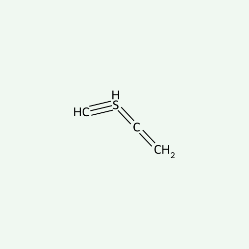 C#[SH]=C=C